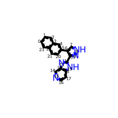 c1ccc2cc(-c3c[nH]nc3-c3nc4cnccc4[nH]3)ccc2c1